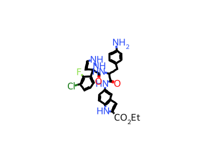 CCOC(=O)c1cc2cc(NC(=O)C(Cc3ccc(N)cc3)NC(=O)C3(c4cccc(Cl)c4F)C=CNN3)ccc2[nH]1